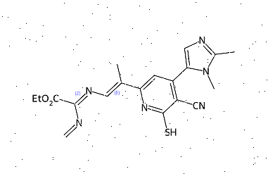 C=N/C(=N\C=C(/C)c1cc(-c2cnc(C)n2C)c(C#N)c(S)n1)C(=O)OCC